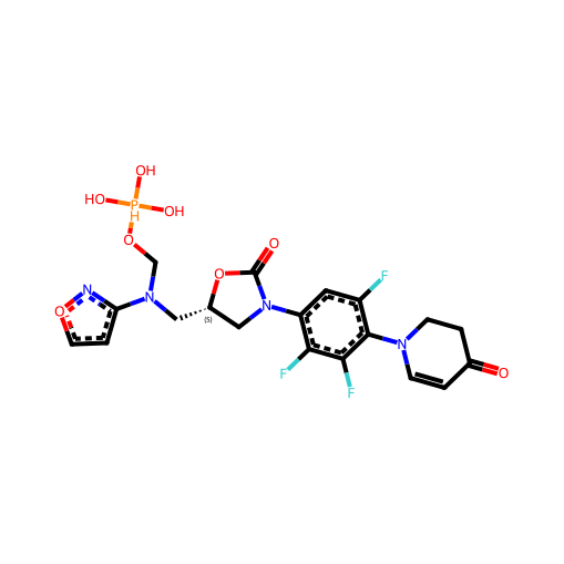 O=C1C=CN(c2c(F)cc(N3C[C@H](CN(CO[PH](O)(O)O)c4ccon4)OC3=O)c(F)c2F)CC1